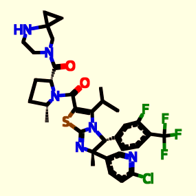 CC(C)C1=C(C(=O)N2[C@H](C)CC[C@@H]2C(=O)N2CCNC3(CC3)C2)SC2=N[C@@](C)(c3ccc(Cl)nc3)[C@@H](c3ccc(C(F)(F)F)c(F)c3)N21